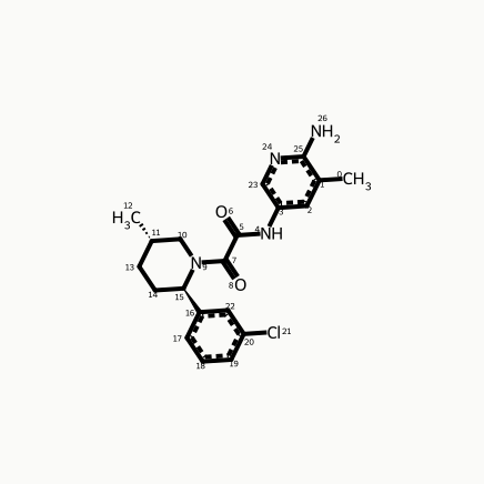 Cc1cc(NC(=O)C(=O)N2C[C@@H](C)CC[C@@H]2c2cccc(Cl)c2)cnc1N